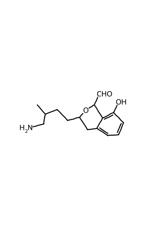 CC(CN)CCC1Cc2cccc(O)c2C(C=O)O1